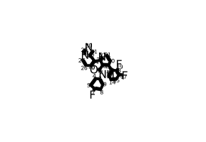 O=C(Nc1ccc(F)cc1)c1c(-c2cccc(F)c2F)ccnc1-c1cccn2cncc12